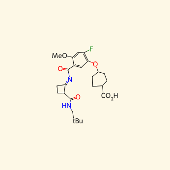 COc1cc(F)c(OC2CCC(C(=O)O)CC2)cc1C(=O)/N=C1\CCC1C(=O)NCC(C)(C)C